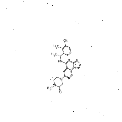 Cc1c(C#N)cccc1[C@@H](C)Nc1nc2nccn2c2cnc(N3CCN(C)C(=O)C3)cc12